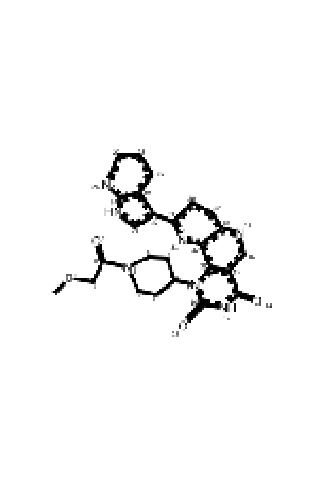 COCC(=O)N1CCC(n2c(=O)[nH]c(=O)c3cnc4ccc(-c5c[nH]c6ncccc56)nc4c32)CC1